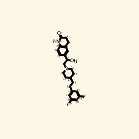 O=C1CCc2cc(C(O)CN3CCC(CCc4cc(F)cc(F)c4)CC3)ccc2N1